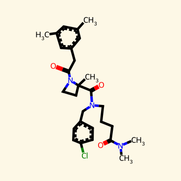 Cc1cc(C)cc(CC(=O)N2CCC2(C)C(=O)N(CCCC(=O)N(C)C)Cc2ccc(Cl)cc2)c1